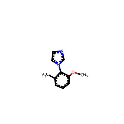 COc1cccc(C)c1-n1ccnc1